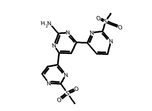 CS(=O)(=O)c1nccc(-c2cc(-c3ccnc(S(C)(=O)=O)n3)nc(N)n2)n1